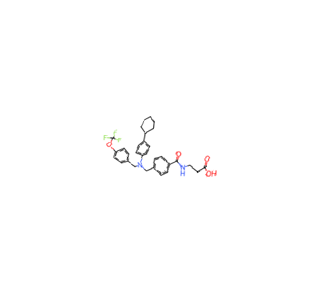 O=C(O)CCNC(=O)c1ccc(CN(Cc2ccc(OC(F)(F)F)cc2)c2ccc(C3CCCCC3)cc2)cc1